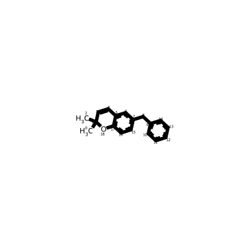 CC1(C)C=Cc2cc(Cc3ccccc3)ccc2O1